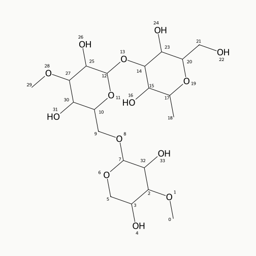 COC1C(O)COC(OCC2OC(OC3C(O)C(C)OC(CO)C3O)C(O)C(OC)C2O)C1O